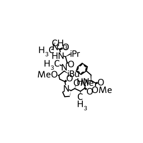 CC[C@H](C)[C@@H]([C@@H](CC(=O)N1CCC[C@H]1[C@H](OC)[C@@H](C)C(=O)N[C@@H](Cc1ccccc1)C(=O)OC)OC)N(C)C(=O)[C@@H](NC(=O)N(C)C)C(C)C